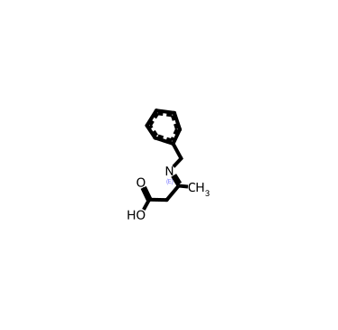 C/C(CC(=O)O)=N\Cc1ccccc1